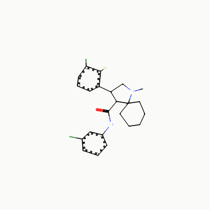 CN1CC(c2cccc(Cl)c2F)C(C(=O)Nc2cccc(Cl)c2)C12CCCCC2